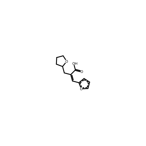 O=C(O)C(=Cc1ccco1)CC1CCCO1